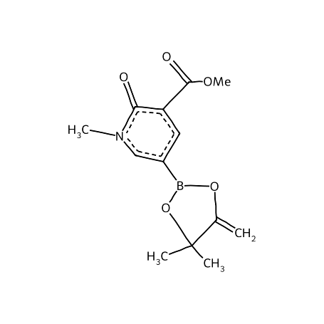 C=C1OB(c2cc(C(=O)OC)c(=O)n(C)c2)OC1(C)C